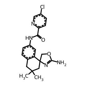 CC1(C)Cc2ccc(NC(=O)c3ccc(Cl)cn3)cc2C2(COC(N)=N2)C1